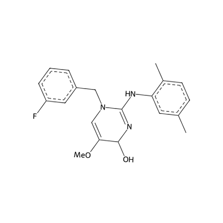 COC1=CN(Cc2cccc(F)c2)C(Nc2cc(C)ccc2C)=NC1O